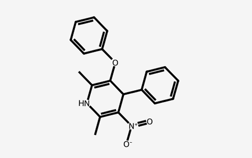 CC1=C(Oc2ccccc2)C(c2ccccc2)C([N+](=O)[O-])=C(C)N1